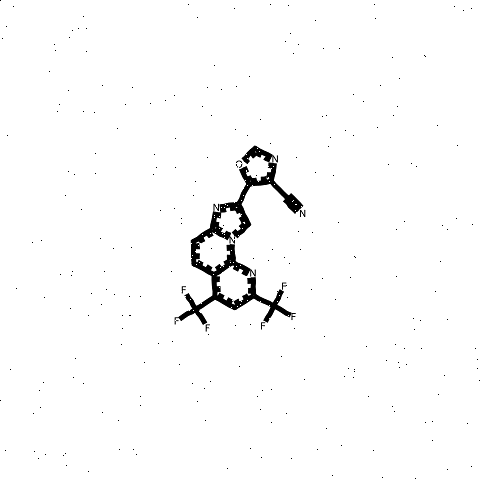 N#Cc1ncoc1-c1cn2c(ccc3c(C(F)(F)F)cc(C(F)(F)F)nc32)n1